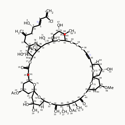 C=C(Cl)/C=C/[C@@H](O)CC(=C)C[C@H]1O[C@@H]2[C@H](C)[C@@H](OC(=O)C[C@H]3C[C@H](OC(C)=O)C[C@@]4(C[C@@](C)(O)C[C@H](CC(=C)[C@@H](C)[C@H](OC(C)=O)[C@H](C)C(=O)C[C@@H]5C[C@H](OC)CC6(C[C@@H](O)C[C@H](/C=C\CCC[C@H]7O[C@](O)(C[C@H](O)[C@H]7C)[C@H]2O)O6)O5)O4)O3)[C@@H]1O